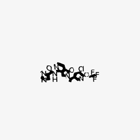 CC(c1cnc(OCC(F)(F)F)c(Cl)c1)N1Cc2c(ccnc2NC(=O)c2cncn2C)C1=O